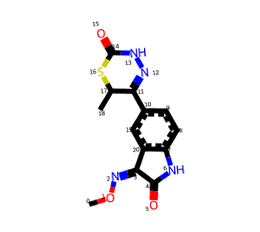 CO/N=C1\C(=O)Nc2ccc(C3=NNC(=O)SC3C)cc21